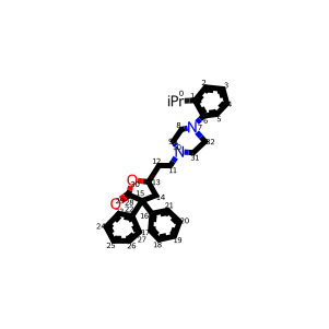 CC(C)c1ccccc1N1CCN(CCC2CC(c3ccccc3)(c3ccccc3)C(=O)O2)CC1